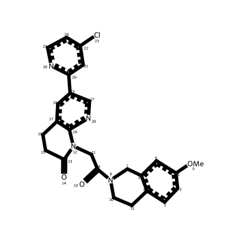 COc1ccc2c(c1)CN(C(=O)CN1C(=O)CCc3cc(-c4cc(Cl)ccn4)cnc31)CC2